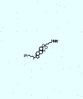 CC(C)CCCC(C)C1CCC2C3CC[C@H]4C[C@@H](OC(=O)CCCCN=[N+]=[N-])CC[C@]4(C)C3CC[C@]12C